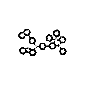 c1ccc(N2c3ccccc3[Si](c3ccccc3)(c3ccccc3)c3cc(-c4ccc(N(c5ccc(-c6cccc7ccccc67)cc5)c5cccc6c5sc5ccccc56)cc4)ccc32)cc1